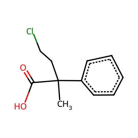 CC(CCCl)(C(=O)O)c1ccccc1